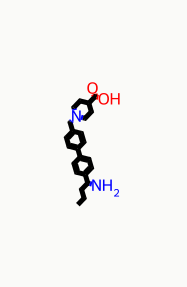 CCCC(N)c1ccc(-c2ccc(CN3CCC(C(=O)O)CC3)cc2)cc1